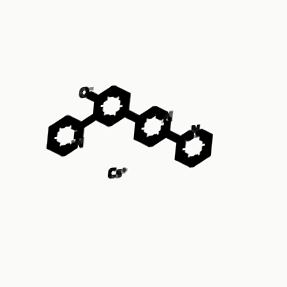 [Cs+].[O-]c1ccc(-c2ccc(-c3ccccn3)nc2)cc1-c1ccccn1